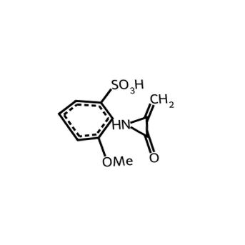 C=C1NC1=O.COc1cccc(S(=O)(=O)O)c1